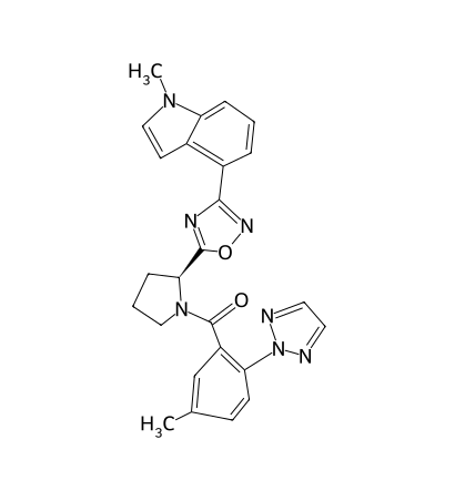 Cc1ccc(-n2nccn2)c(C(=O)N2CCC[C@H]2c2nc(-c3cccc4c3ccn4C)no2)c1